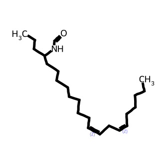 CCCCC/C=C\C/C=C\CCCCCCCCC(CCC)NC=O